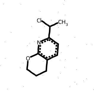 CC(Cl)c1ccc2c(n1)OCCC2